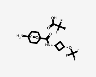 NC12CCC(C(=O)N[C@H]3C[C@@H](OC(F)(F)F)C3)(CC1)OC2.O=C(O)C(F)(F)F